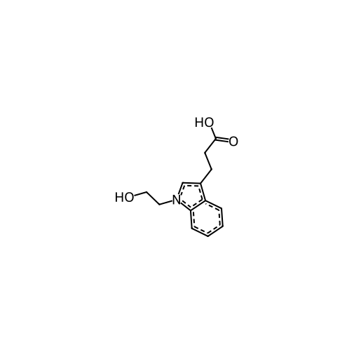 O=C(O)CCc1cn(CCO)c2ccccc12